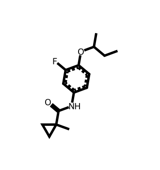 CCC(C)Oc1ccc(NC(=O)C2(C)CC2)cc1F